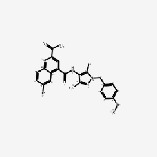 Cc1c(NC(=O)c2cc(C(N)=O)nc3ccc(Br)cc23)c(C(F)(F)F)nn1Cc1ccc(OC(F)(F)F)cc1